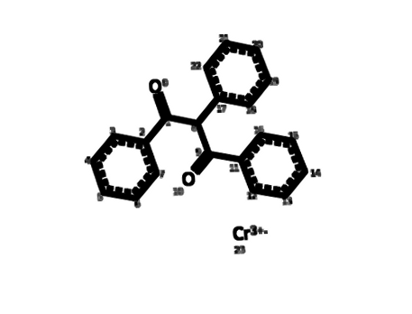 O=C(c1ccccc1)C(C(=O)c1ccccc1)c1ccccc1.[Cr+3]